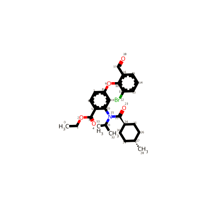 CCOC(=O)c1ccc(Oc2c(Br)cccc2C=O)cc1N(C(=O)[C@H]1CC[C@H](C)CC1)C(C)C